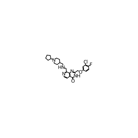 O=c1[nH]c(COc2ccc(F)c(Cl)c2)nc2c(CNCC3CCN(C4CCCC4)CC3)nccc12